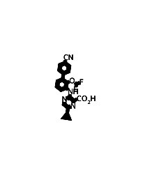 N#Cc1ccc(-c2cccc(Nc3ncc(C4CC4)nc3C(=O)O)c2OC(F)F)cc1